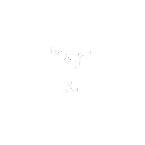 CC1(C)C2CCC1(CS(=O)(=O)N1Cc3cc(OCCCONC(=N)N)ccc3C[C@H]1C(=O)O)C(=O)C2.O=C(O)C(F)(F)F